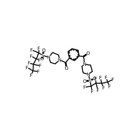 O=C(c1cccc(C(=O)N2CCN(S(=O)(=O)C(F)(F)C(F)(F)C(F)(F)C(F)(F)F)CC2)c1)N1CCN(S(=O)(=O)C(F)(F)C(F)(F)C(F)(F)C(F)(F)F)CC1